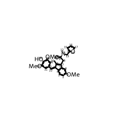 COc1ccc2c(c1)C(CC(=O)N(C)Cc1ccco1)=C(C)C2=Cc1cc(OC)c(O)c(OC)c1